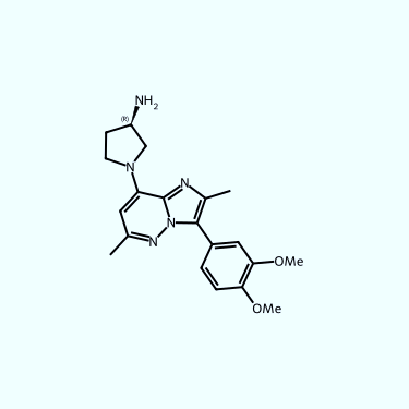 COc1ccc(-c2c(C)nc3c(N4CC[C@@H](N)C4)cc(C)nn23)cc1OC